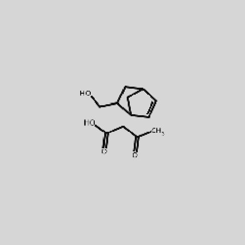 CC(=O)CC(=O)O.OCC1CC2C=CC1C2